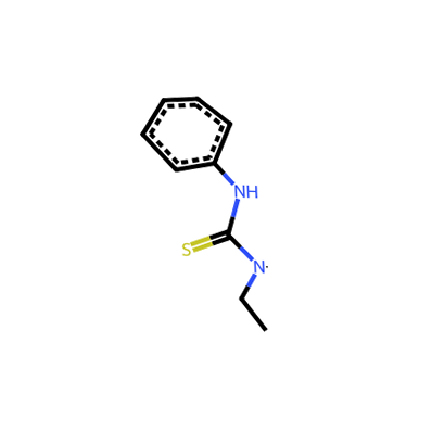 CC[N]C(=S)Nc1ccccc1